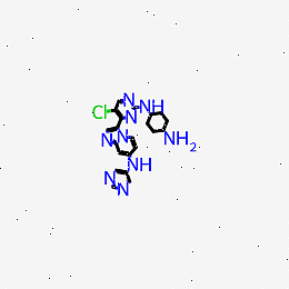 N[C@H]1CC[C@H](Nc2ncc(Cl)c(-c3cnc4cc(Nc5cncnc5)ccn34)n2)CC1